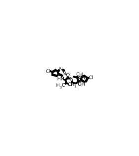 CC(C)[C@@H](Nc1ncnc2cc(Cl)ccc12)C(=O)N1CC[C@](O)(c2ccc(Cl)cc2)C(C)(C)C1